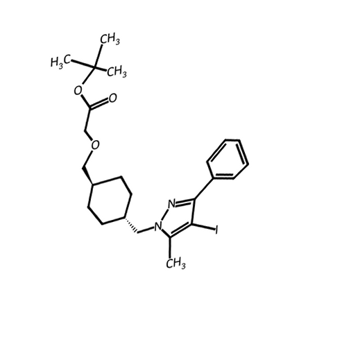 Cc1c(I)c(-c2ccccc2)nn1C[C@H]1CC[C@H](COCC(=O)OC(C)(C)C)CC1